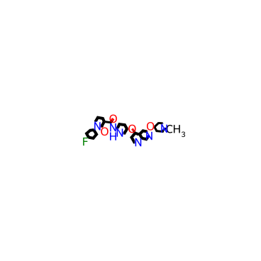 CN1CCC(Oc2cc3c(Oc4ccc(NC(=O)c5cccn(-c6ccc(F)cc6)c5=O)nc4)ccnc3cn2)CC1